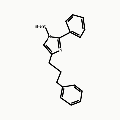 CCCCCn1cc(CCCc2ccccc2)nc1-c1ccccc1